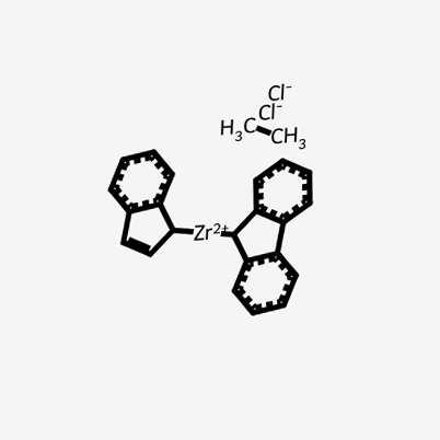 C1=C[CH]([Zr+2][CH]2c3ccccc3-c3ccccc32)c2ccccc21.CC.[Cl-].[Cl-]